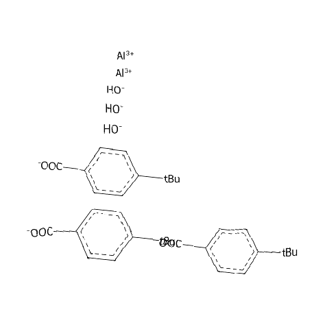 CC(C)(C)c1ccc(C(=O)[O-])cc1.CC(C)(C)c1ccc(C(=O)[O-])cc1.CC(C)(C)c1ccc(C(=O)[O-])cc1.[Al+3].[Al+3].[OH-].[OH-].[OH-]